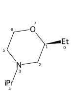 CC[C@H]1CN(C(C)C)CCO1